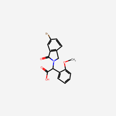 COc1ccccc1C(C(=O)O)N1Cc2ccc(Br)cc2C1=O